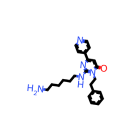 NCCCCCCNc1nc(-c2ccncc2)cc(=O)n1CCc1ccccc1